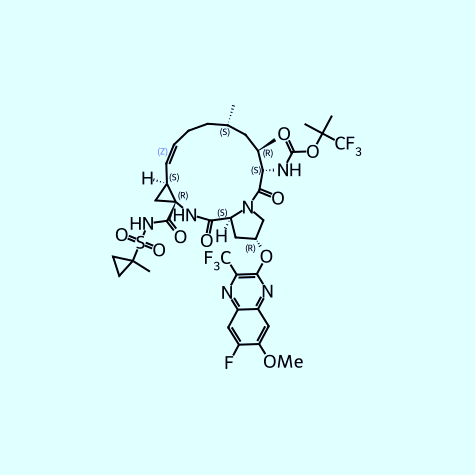 COc1cc2nc(O[C@@H]3C[C@H]4C(=O)N[C@]5(C(=O)NS(=O)(=O)C6(C)CC6)C[C@H]5/C=C\CC[C@H](C)C[C@@H](C)[C@H](NC(=O)OC(C)(C)C(F)(F)F)C(=O)N4C3)c(C(F)(F)F)nc2cc1F